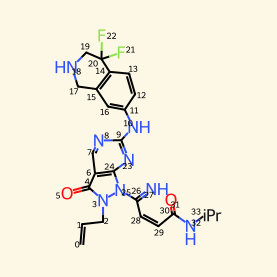 C=CCn1c(=O)c2cnc(Nc3ccc4c(c3)CNCC4(F)F)nc2n1C(=N)/C=C\C(=O)NC(C)C